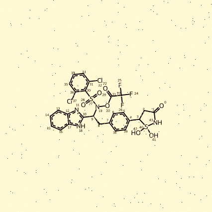 O=C1CC(c2ccc(C[C@@H](c3nc4ccccc4[nH]3)N(OC(=O)C(F)(F)F)S(=O)(=O)c3c(Cl)cccc3Cl)cc2)S(O)(O)N1